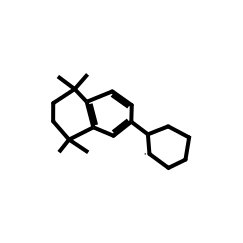 CC1(C)CCC(C)(C)c2cc(C3[CH]CCCC3)ccc21